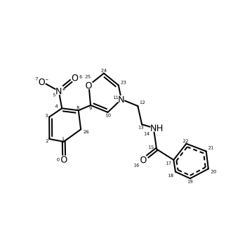 O=C1C=CC([N+](=O)[O-])=C(C2=CN(CCNC(=O)c3ccccc3)C=CO2)C1